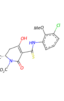 COc1c(Cl)cccc1NC(=S)C1=C(O)C[C@@H](C)N(C(=O)O)C1=O